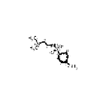 Bc1ccc(S(=O)(=O)NCCN(C)C)cc1